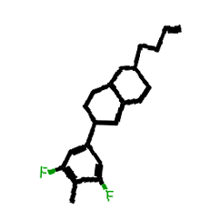 C=CCCC1CCC2CC(c3cc(F)c(C)c(F)c3)CCC2C1